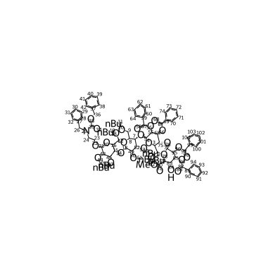 CCCCOCC1O[C@@H](O[C@@H]2C(COCCCC)O[C@H](O[C@H]3C(COCCCC)O[C@H](OCCN(Cc4ccccc4)C(=O)OCc4ccccc4)C(OCCCC)[C@H]3OCCCC)C(OCCCC)[C@H]2OCCCC)[C@@H](OC(=O)c2ccccc2)C(OC(=O)c2ccccc2)[C@@H]1O[C@@H]1OC(C(=O)OC)[C@@H](O)C(OC(=O)c2ccccc2)[C@@H]1OC(=O)c1ccccc1